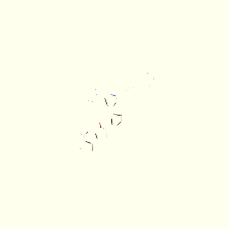 Cc1ccc(NC(=O)c2cnc3c(c2)CCC3(F)F)cc1-c1cc(OCCOC2CCCCO2)nc(N2CCOCC2)c1